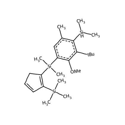 COc1c([Si](C)(C)C2=C([Si](C)(C)C)C=CC2)cc(C)c([SiH](C)C)c1C(C)(C)C